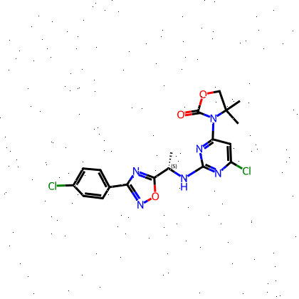 C[C@H](Nc1nc(Cl)cc(N2C(=O)OCC2(C)C)n1)c1nc(-c2ccc(Cl)cc2)no1